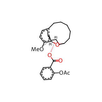 COc1ccc2c3c1OC(CCCCC2)C[C@@H](OC(=O)c1ccccc1OC(C)=O)[C@@H]3C